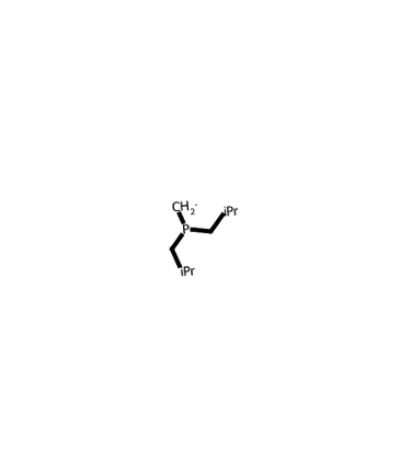 [CH2]P(CC(C)C)CC(C)C